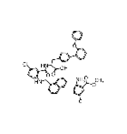 COC(=O)c1cc(Cl)ccc1N.O=C(N[C@@H](Cc1ccc(-c2ccccc2Oc2ccccc2)cc1)C(=O)O)c1cc(Cl)ccc1NCc1cccc2ccccc12